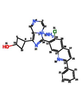 N[N+]12C=CN=CC1=C(C1CC(O)C1)N=C2c1cc2nc(-c3ccccc3)ccc2cc1Cl